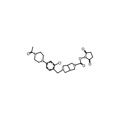 CC(=O)N1CCN(c2ccc(CN3CC4CN(C(=O)ON5C(=O)CCC5=O)CC4C3)c(Cl)c2)CC1